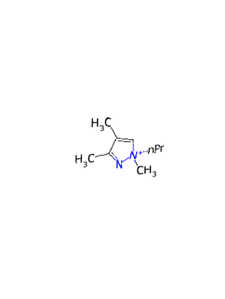 CCC[N+]1(C)C=C(C)C(C)=N1